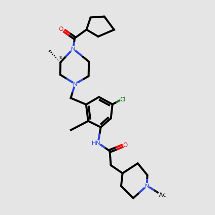 CC(=O)N1CCC(CC(=O)Nc2cc(Cl)cc(CN3CCN(C(=O)C4CCCC4)[C@@H](C)C3)c2C)CC1